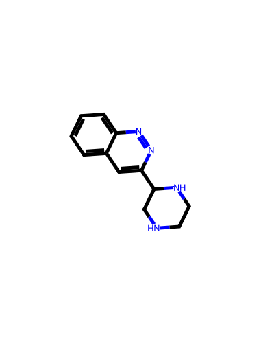 c1ccc2nnc(C3CNCCN3)cc2c1